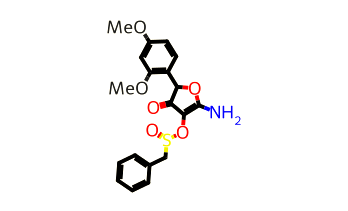 COc1ccc(C2OC(N)=C(OS(=O)Cc3ccccc3)C2=O)c(OC)c1